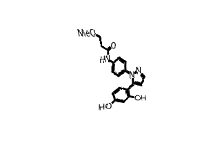 COCCC(=O)Nc1ccc(-n2nccc2-c2ccc(O)cc2O)cc1